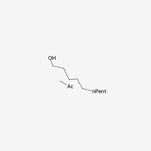 CC(C)=O.CCCCCCCCCCO